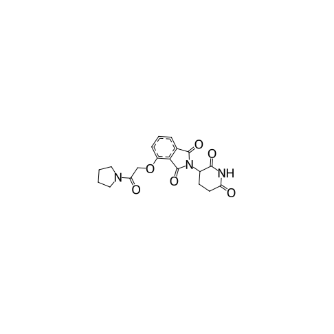 O=C1CCC(N2C(=O)c3cccc(OCC(=O)N4CCCC4)c3C2=O)C(=O)N1